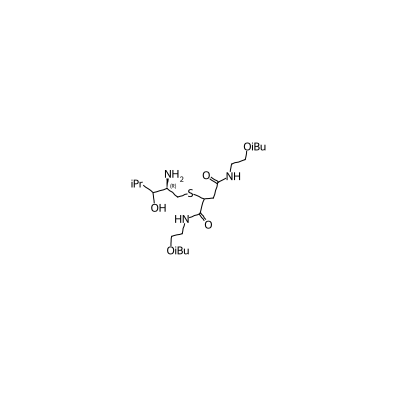 CC(C)COCCNC(=O)CC(SC[C@H](N)C(O)C(C)C)C(=O)NCCOCC(C)C